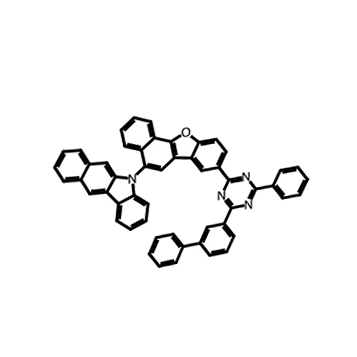 c1ccc(-c2cccc(-c3nc(-c4ccccc4)nc(-c4ccc5oc6c7ccccc7c(-n7c8ccccc8c8cc9ccccc9cc87)cc6c5c4)n3)c2)cc1